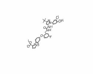 CCOC(=O)c1ccc2sc3cc(Oc4ccc(F)cc4CNC(=O)Nc4cc(C(C)(C)C)nn4-c4ccc(O)c(Cl)c4)ccc3n12